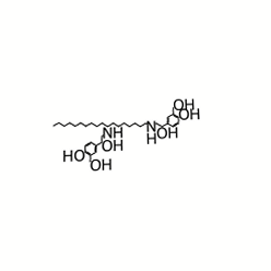 CCCCCCCCCCC(CCCCCCCNCC(O)c1ccc(O)c(CO)c1)NCC(O)c1ccc(O)c(CO)c1